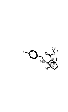 COC(=O)[C@H]1[C@@H]2CC[C@@H](C2)[C@H]1NCc1ccc(F)cc1